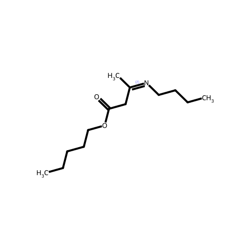 CCCCCOC(=O)C/C(C)=N\CCCC